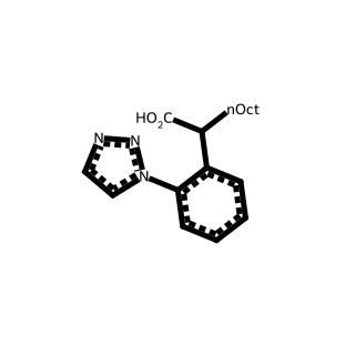 CCCCCCCCC(C(=O)O)c1ccccc1-n1ccnn1